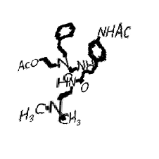 CC(=O)Nc1ccc(CC(NC(=O)N(CCOC(C)=O)CCc2ccccc2)C(=O)NCCN(C)C)cc1